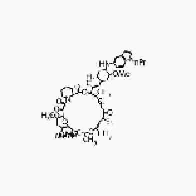 CCCn1ccc2cc(NC3CCC(C=C(C)C4OC(=O)C5CCCCN5C(=O)C(=O)C5(O)OC(C(OC)CC(C)C/C(C)=C/C(CC)C(=O)CCC4C)C(OC)CC5C)CC3OC)ccc21